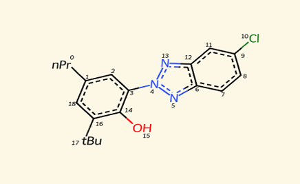 CCCc1cc(-n2nc3ccc(Cl)cc3n2)c(O)c(C(C)(C)C)c1